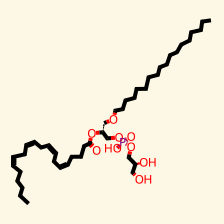 CCCCC/C=C\C/C=C\C/C=C\C/C=C\CCCC(=O)O[C@H](COCCCCCCCCCCCCCCCCCC)COP(=O)(O)OC[C@@H](O)CO